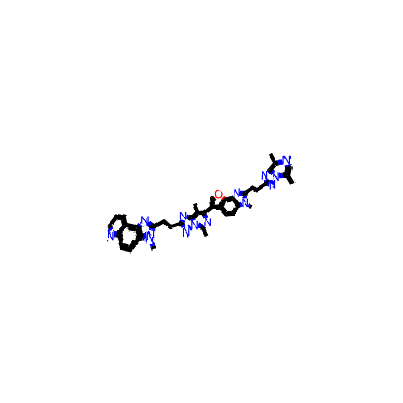 Cc1ncc(C)n2nc(CCc3nc4c5occ(-c6nc(C)n7nc(CCc8nc9c%10cccnc%10ccc9n8C)nc7c6C)c5ccc4n3C)nc12